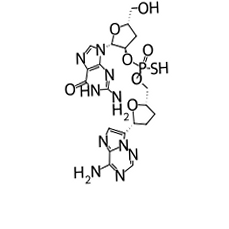 Nc1nc2c(ncn2[C@@H]2O[C@H](CO)C[C@H]2OP(=O)(S)OC[C@@H]2CC[C@H](c3cnc4c(N)ncnn34)O2)c(=O)[nH]1